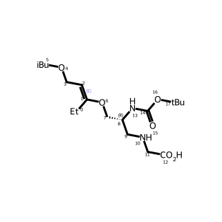 CC/C(=C\COC(C)CC)OC[C@@H](CNCC(=O)O)NC(=O)OC(C)(C)C